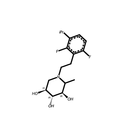 CC(C)c1ccc(F)c(CCN2C[C@H](O)[C@@H](O)[C@H](O)C2C)c1F